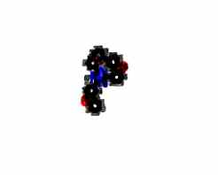 CN1C(c2ccccc2)=NC(c2cccc3oc4ccc(-c5ccccc5)cc4c23)=NC1c1ccc2oc3ccccc3c2c1